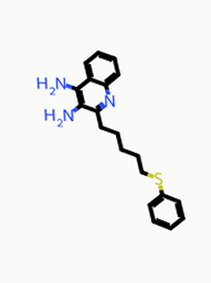 Nc1c(CCCCCSc2ccccc2)nc2ccccc2c1N